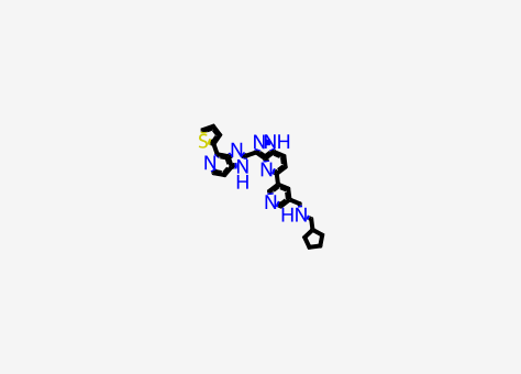 c1csc(-c2nccc3[nH]c(-c4n[nH]c5ccc(-c6cncc(CNCC7CCCC7)c6)nc45)nc23)c1